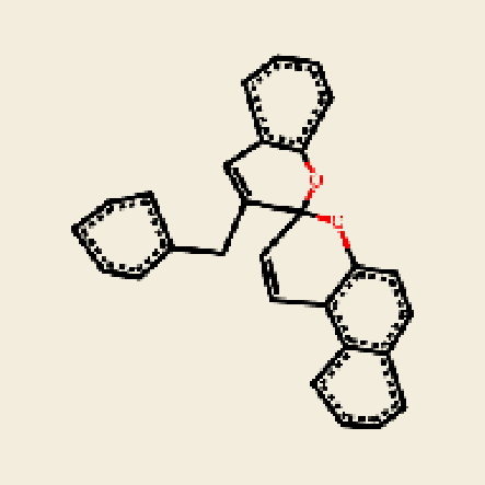 C1=CC2(Oc3ccccc3C=C2Cc2ccccc2)Oc2ccc3ccccc3c21